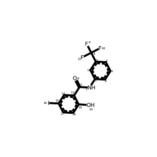 O=C(Nc1cccc(C(F)(F)F)c1)c1cc(I)ccc1O